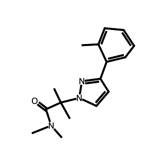 Cc1ccccc1-c1ccn(C(C)(C)C(=O)N(C)C)n1